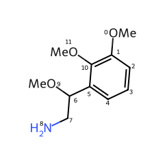 COc1cccc(C(CN)OC)c1OC